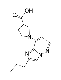 CCCc1cn2nccc(N3CCC(C(=O)O)C3)c2n1